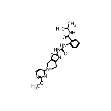 COc1nccc(N2CCc3nc(NC(=O)Nc4ccccc4C(=O)NC(C)C)sc3C2)n1